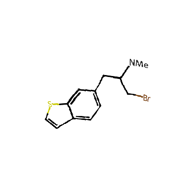 CNC(CBr)Cc1ccc2ccsc2c1